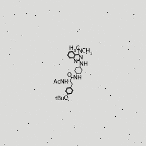 CC(=O)N[C@@H](Cc1ccc(OC(C)(C)C)cc1)C(=O)N[C@H]1CC[C@@H](Nc2nc(N(C)C)c3ccccc3n2)CC1